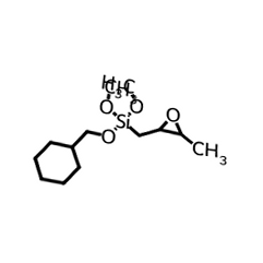 CO[Si](CC1OC1C)(OC)OCC1CCCCC1